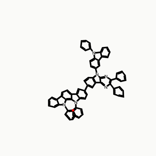 c1ccc(-c2nc3c4cc(-c5ccc6c(c5)c5ccc7c8ccccc8n(-c8ccccc8)c7c5n6-c5ccccc5)ccc4n(-c4ccc5c(c4)c4ccccc4n5-c4ccccc4)c3nc2-c2ccccc2)cc1